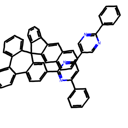 c1ccc(-c2cc(-c3cnc(-c4ccccc4)nc3)nc(-c3ccc4c(c3)C3(c5ccccc5-c5ccccc5-4)c4ccccc4-c4cc5ccccc5cc43)n2)cc1